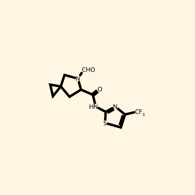 O=CN1CC2(CC2)CC1C(=O)Nc1nc(C(F)(F)F)cs1